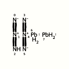 [N-]=[N+]=N.[N-]=[N+]=[N-].[PbH2].[PbH2]